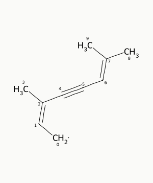 [CH2]C=C(C)C#CC=C(C)C